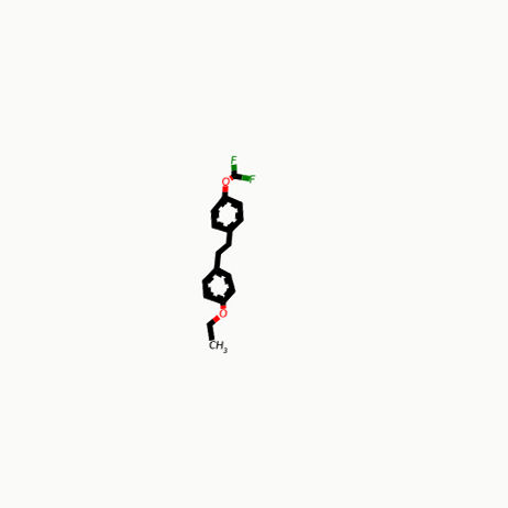 CCOc1ccc(CCc2ccc(OC(F)F)cc2)cc1